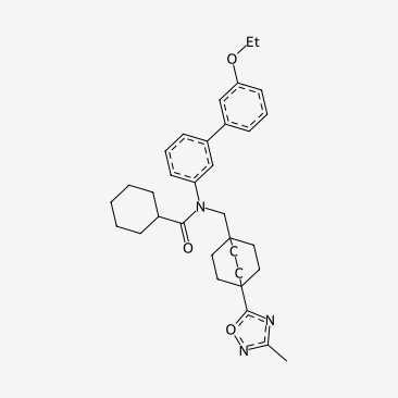 CCOc1cccc(-c2cccc(N(CC34CCC(c5nc(C)no5)(CC3)CC4)C(=O)C3CCCCC3)c2)c1